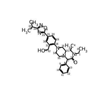 CCN(CC)C(=O)C(c1ccccc1)N1CCN(c2ccc(-c3nc(C(C)C)no3)cc2CO)CC1